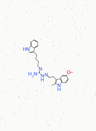 COc1ccc2[nH]c(C)c(CC=NNC(N)=NCCCCc3c[nH]c4ccccc34)c2c1